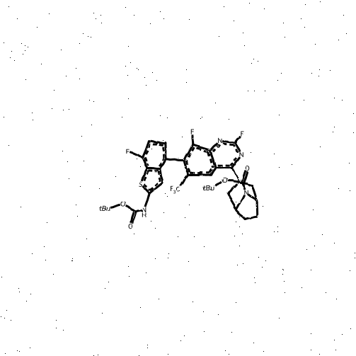 CC(C)(C)OC(=O)Nc1cc2c(-c3c(C(F)(F)F)cc4c(N5CC6CCC(C5)N6C(=O)OC(C)(C)C)nc(F)nc4c3F)ccc(F)c2s1